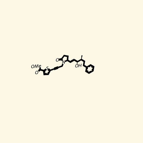 COC(=O)c1ccc(C#CCN2C(=O)CCC2C=C[C@@H](O)[C@@H](C)CCc2ccccc2)s1